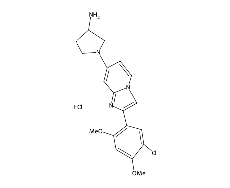 COc1cc(OC)c(-c2cn3ccc(N4CCC(N)C4)cc3n2)cc1Cl.Cl